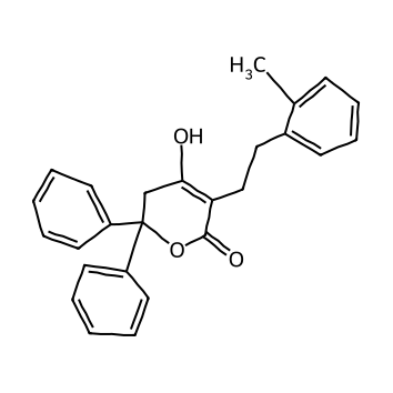 Cc1ccccc1CCC1=C(O)CC(c2ccccc2)(c2ccccc2)OC1=O